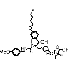 COc1ccc(CNC(=O)N[C@H](CN2CCC(O)C2)[C@H](O)c2ccc(OCCCCF)cc2)cc1.O=C(O)C(F)(F)F